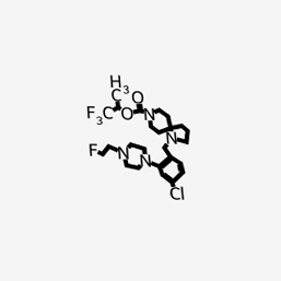 CC(OC(=O)N1CCC2(CCCN2Cc2ccc(Cl)cc2N2CCN(CCF)CC2)CC1)C(F)(F)F